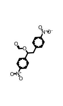 O=COC(Cc1ccc([N+](=O)[O-])cc1)c1ccc([N+](=O)[O-])cc1